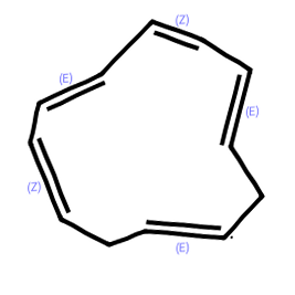 [C]1=C/C\C=C/C=C/C=C\C=C\C/1